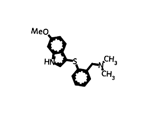 COc1ccc2c(Sc3ccccc3CN(C)C)c[nH]c2c1